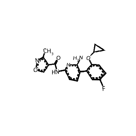 Cc1nocc1C(=O)Nc1ccc(-c2cc(F)ccc2OC2CC2)c(N)n1